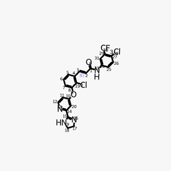 O=C(/C=C/c1cccc(Oc2ccnc(C3=NCCN3)c2)c1Cl)Nc1ccc(Cl)c(C(F)(F)F)c1